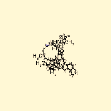 CC[C@@H]1C[C@H](C)CC/C=C\[C@@H]2C[C@@]2(C(=O)NS(=O)(=O)C2(C)CC2)NC(=O)[C@@H]2C[C@@H](Oc3nccc4c5c(ccc34)CCCO5)CN2C(=O)[C@H]1N(C(=O)O)C(C)(C)C(F)(F)F